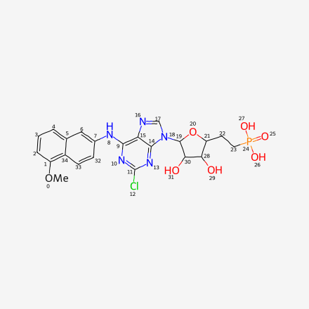 COc1cccc2cc(Nc3nc(Cl)nc4c3ncn4C3OC(CCP(=O)(O)O)C(O)C3O)ccc12